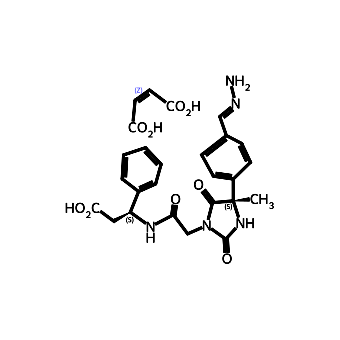 C[C@@]1(c2ccc(C=NN)cc2)NC(=O)N(CC(=O)N[C@@H](CC(=O)O)c2ccccc2)C1=O.O=C(O)/C=C\C(=O)O